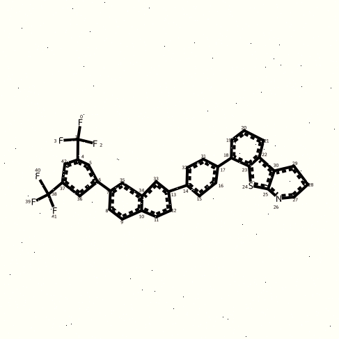 FC(F)(F)c1cc(-c2ccc3ccc(-c4ccc(-c5cccc6c5sc5ncccc56)cc4)cc3c2)cc(C(F)(F)F)c1